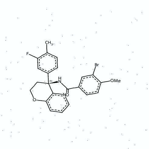 COc1ccc(C(=O)N[C@]2(c3ccc(C)c(F)c3)CCOc3cccnc32)cc1Br